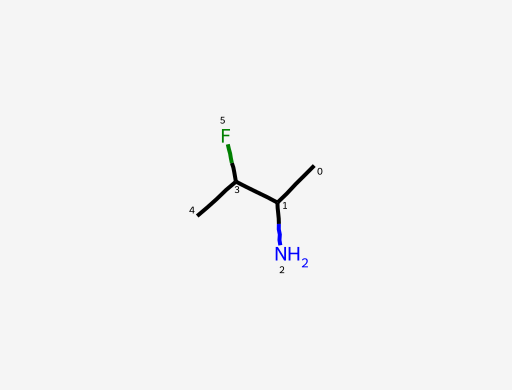 CC(N)C(C)F